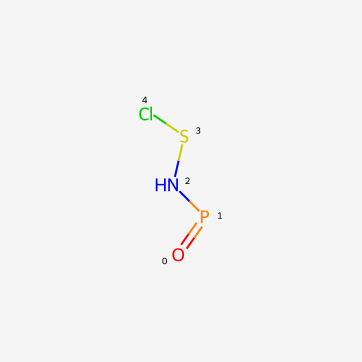 O=PNSCl